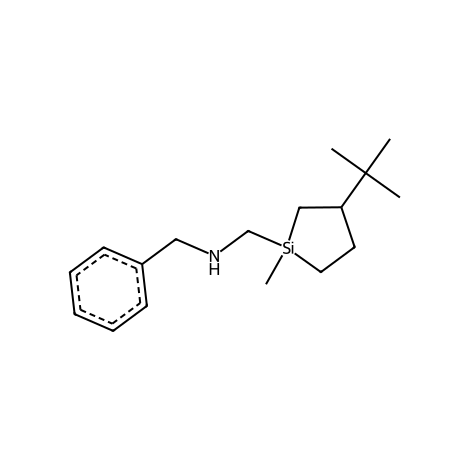 CC(C)(C)C1CC[Si](C)(CNCc2ccccc2)C1